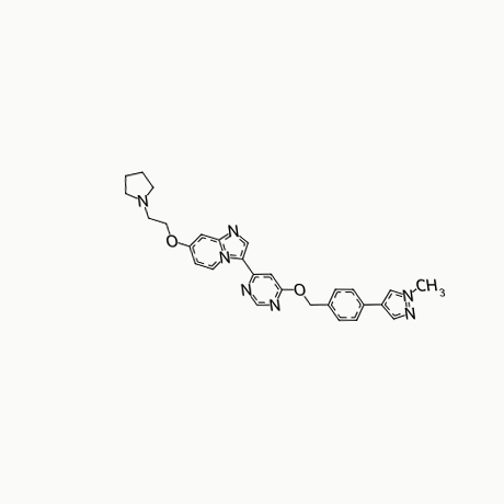 Cn1cc(-c2ccc(COc3cc(-c4cnc5cc(OCCN6CCCC6)ccn45)ncn3)cc2)cn1